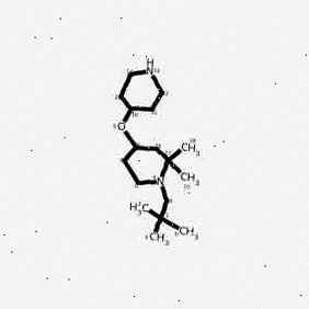 CC(C)(C)CN1CCC(OC2CCNCC2)CC1(C)C